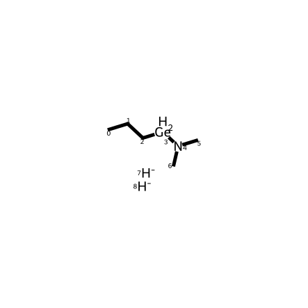 CC[CH2][GeH2][N](C)C.[H-].[H-]